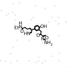 CCNC(=O)CC/C=C(\C=N)c1ccc(O)c(CC(=O)c2coc(N)n2)c1